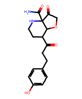 NC(=O)C12NCCC(C(=O)[CH]Cc3ccc(O)cc3)C1OCC2=O